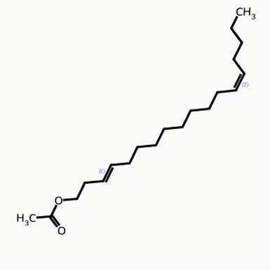 CCCC/C=C\CCCCCCCC/C=C/CCOC(C)=O